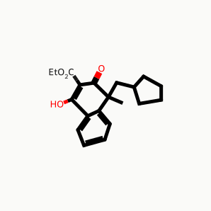 CCOC(=O)C1=C(O)c2ccccc2C(C)(CC2CCCC2)C1=O